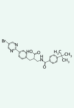 CC(C)(C)c1ccc(C(=O)NCC(Cc2ccc(-c3ncc(Br)cn3)cc2)C(=O)O)cc1